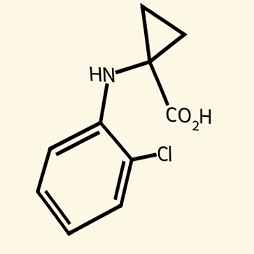 O=C(O)C1(Nc2ccccc2Cl)CC1